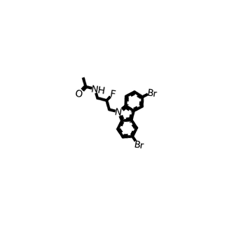 CC(=O)NCC(F)Cn1c2ccc(Br)cc2c2cc(Br)ccc21